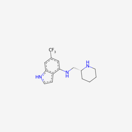 FC(F)(F)c1cc(NC[C@H]2CCCCN2)c2cc[nH]c2c1